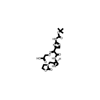 CC(C)(C)OC(=O)Nc1nc(/C(=N/OCC(=O)O)C(=O)N[C@H]2C3NC2(CN2CCOC2=O)O3)cs1